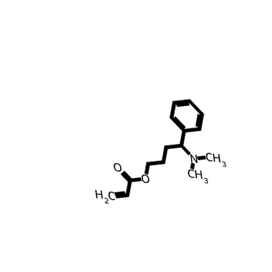 C=CC(=O)OCCCC(c1ccccc1)N(C)C